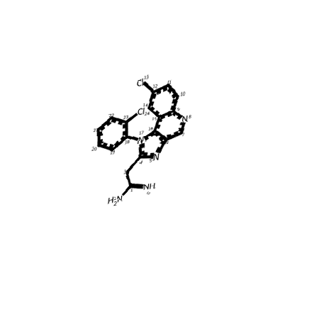 N=C(N)Cc1nc2cnc3ccc(Cl)cc3c2n1-c1ccccc1Cl